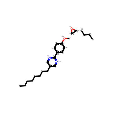 CCCCCCCCc1cnc(-c2ccc(OC[C@@H]3O[C@@H]3CCCC)cc2)nc1